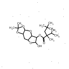 CC(C)C(C)(CC(C)(C)C)C(=O)OC1C(O)OC2CC3OC(C)(C)OC3OC21